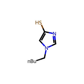 CCCCCn1cnc(S)c1